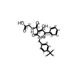 CC(C)(C)c1ccc(Cn2nc(-c3ccccc3)c(O)c(C(=O)NCC(=O)O)c2=O)cc1